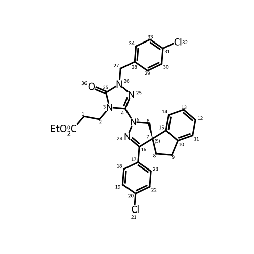 CCOC(=O)CCn1c(N2C[C@@]3(CCc4ccccc43)C(c3ccc(Cl)cc3)=N2)nn(Cc2ccc(Cl)cc2)c1=O